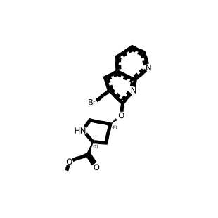 COC(=O)[C@@H]1C[C@@H](Oc2nc3ncccc3cc2Br)CN1